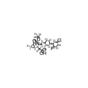 CCOCC[C@](C)(C[C@@H](Cc1ccc(-c2cc(Cl)ccc2F)cc1)NC(=O)OC(C)(C)C)C(=O)O